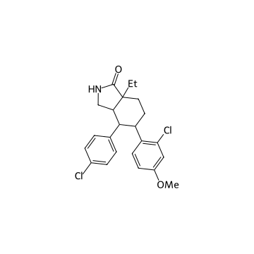 CCC12CCC(c3ccc(OC)cc3Cl)C(c3ccc(Cl)cc3)C1CNC2=O